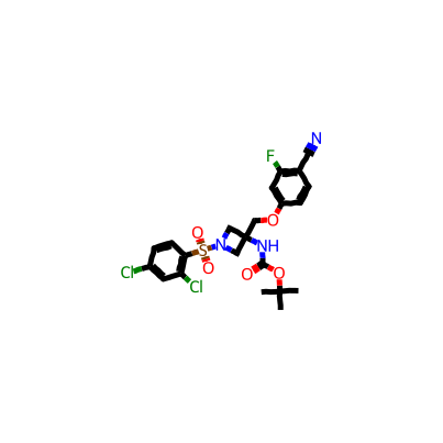 CC(C)(C)OC(=O)NC1(COc2ccc(C#N)c(F)c2)CN(S(=O)(=O)c2ccc(Cl)cc2Cl)C1